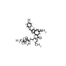 CCCN(CCCNC(=O)CC(C)(C)C)C(=O)C1=Cc2sc(CN3CCNCC3)cc2N=C(N)C1